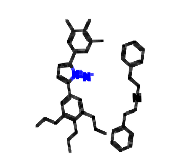 CCCc1cc(C2=CC=C(c3cc(C)c(C)c(C)c3)[N+]2=[N-])cc(CCC)c1CCC.c1ccc(C[CH2][Ni][CH2]Cc2ccccc2)cc1